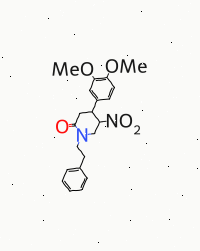 COc1ccc(C2CC(=O)N(CCc3ccccc3)CC2[N+](=O)[O-])cc1OC